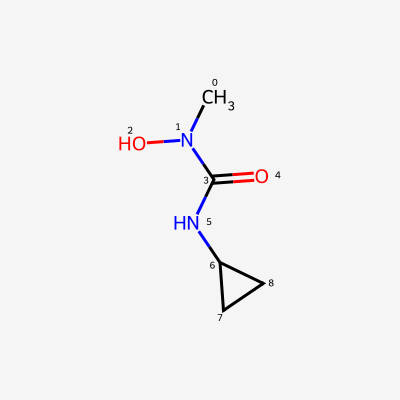 CN(O)C(=O)NC1CC1